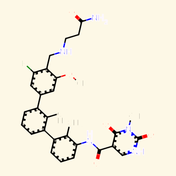 COc1cc(-c2cccc(-c3cccc(NC(=O)c4c[nH]c(=O)n(C)c4=O)c3C)c2C)cc(F)c1CNCCC(N)=O